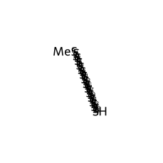 CSSSSSSSSSSSSSSSSSSSSSSSSSSS